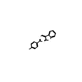 Clc1ccc(-c2ncc3c(n2)[nH]c2ccccc23)cc1